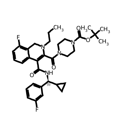 CCCN1Cc2c(F)cccc2C(C(=O)N[C@H](c2cccc(F)c2)C2CC2)=C1C(=O)N1CCN(C(=O)OC(C)(C)C)CC1